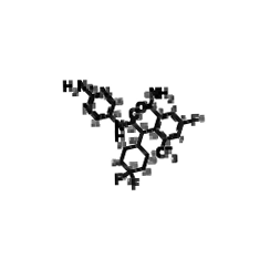 NC(=O)c1cc(F)cc(C(F)(F)F)c1C(C(=O)Nc1cnc(N)nc1)C1CCC(F)(F)CC1